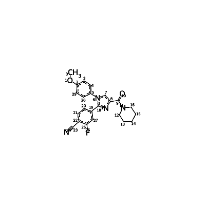 COc1ccc(-n2cc(C(=O)N3CCCCC3)nc2-c2ccc(C#N)c(F)c2)cc1